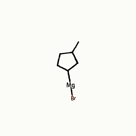 CC1CC[CH]([Mg][Br])C1